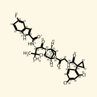 CC(C)(C)[C@H](NC(=O)c1cc2cc(F)ccc2[nH]1)C(=O)N1C[C@@H]2C[C@H]1CN2C(=O)CNC(=O)C1(c2ccc(Cl)cc2Cl)CC1